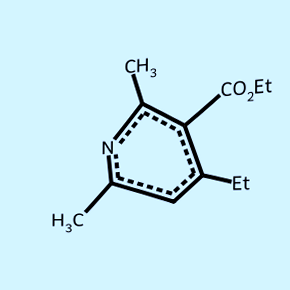 CCOC(=O)c1c(CC)cc(C)nc1C